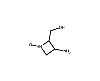 NC1C[NH+]([O-])C1CO